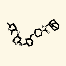 Cc1ccc(Oc2ccnc(Nc3cccc(CN4CCN(C(=O)NC5C6CC7CC(C6)CC5C7)CC4)c3)c2)c(C)n1